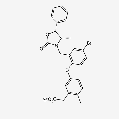 CCOC(=O)Cc1cc(Oc2ccc(Br)cc2CN2C(=O)O[C@H](c3ccccc3)[C@@H]2C)ccc1C